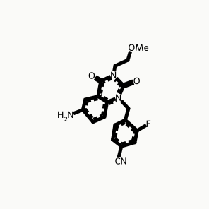 COCCn1c(=O)c2cc(N)ccc2n(Cc2ccc(C#N)cc2F)c1=O